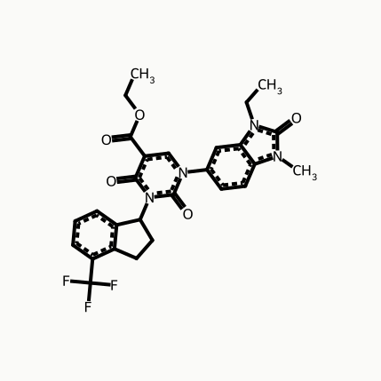 CCOC(=O)c1cn(-c2ccc3c(c2)n(CC)c(=O)n3C)c(=O)n(C2CCc3c2cccc3C(F)(F)F)c1=O